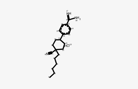 CCCCCCC1(C#N)CCC(c2ccc(C(=N)N)cc2)CC1.Cl